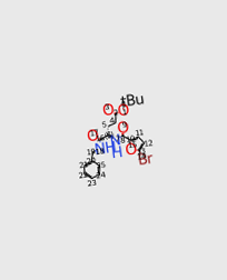 CC(C)(C)OC(=O)CC[C@H](NC(=O)c1ccc(Br)o1)C(=O)NCc1ccccc1